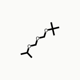 CC(C)OCOCOC(C)(C)C